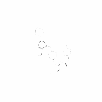 C=C(CN1CCN(C)CC1)/N=C(\C=C/C)NC1CCC(Cc2cc(N3CCCCC3)cc(C)c2/N=C\CC)CC1